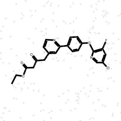 CCOC(=O)CC(=O)Cc1ccnc(-c2ccc(Oc3ncc(Cl)cc3F)cc2)c1